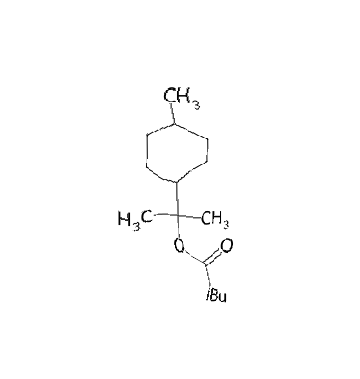 CCC(C)C(=O)OC(C)(C)C1CCC(C)CC1